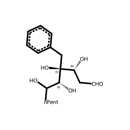 CCCCCC(O)[C@@H](O)[C@](O)(Cc1ccccc1)[C@H](O)CC=O